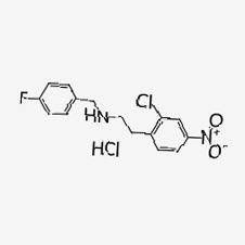 Cl.O=[N+]([O-])c1ccc(CCNCc2ccc(F)cc2)c(Cl)c1